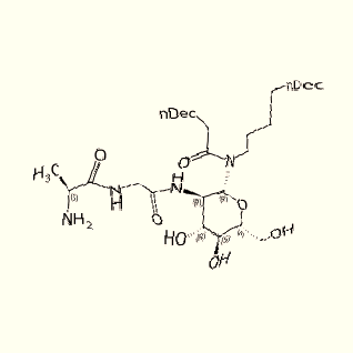 CCCCCCCCCCCCCCN(C(=O)CCCCCCCCCCC)[C@@H]1O[C@H](CO)[C@@H](O)[C@H](O)[C@H]1NC(=O)CNC(=O)[C@H](C)N